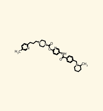 Cc1ccc(CCCN2CCN(C(=O)Oc3ccc(NC(=O)c4ccc(CN5CCCCC5C)cc4)cn3)CC2)nc1